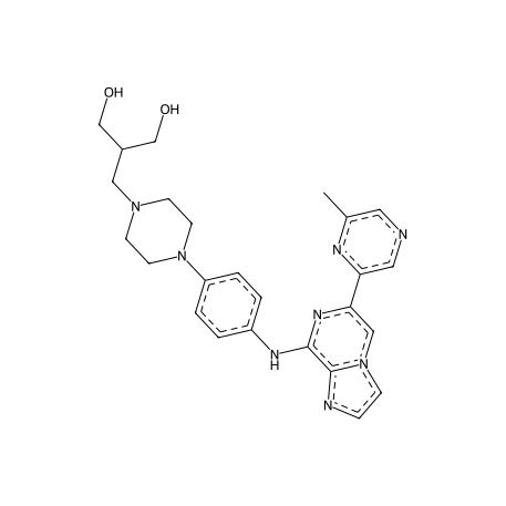 Cc1cncc(-c2cn3ccnc3c(Nc3ccc(N4CCN(CC(CO)CO)CC4)cc3)n2)n1